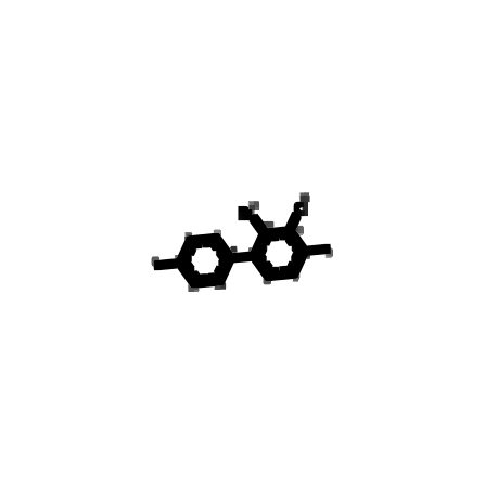 Cc1ccc(-c2ccc(C)c(Cl)c2Br)cc1